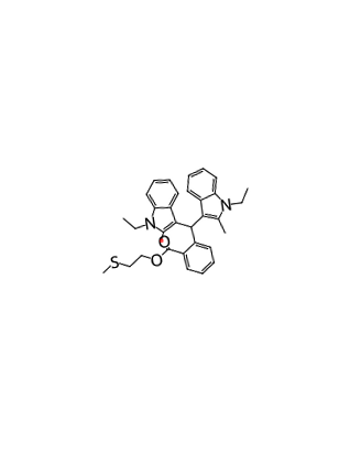 CCn1c(C)c(C(c2ccccc2C(=O)OCCSC)c2c(C)n(CC)c3ccccc23)c2ccccc21